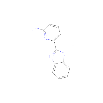 Nc1cccc(-c2nc3ccccc3[nH]2)n1.[Fe]